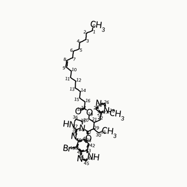 CCCCCCCC/C=C\CCCCCCCC(=O)OCC(Cc1cncn1C)C(CC)C(=O)N1CCN/C1=N/c1ccc2[nH]cnc2c1Br